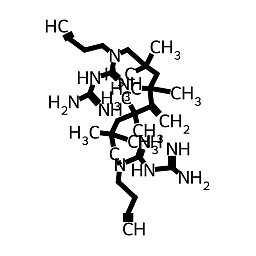 C#CCCN(CC(C)(C)CC(C)(C)C(=C)C(C)(C)CC(C)(C)CN(CCC#C)C(=N)NC(=N)N)C(=N)NC(=N)N